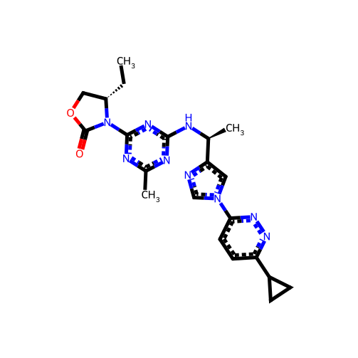 CC[C@H]1COC(=O)N1c1nc(C)nc(N[C@@H](C)c2cn(-c3ccc(C4CC4)nn3)cn2)n1